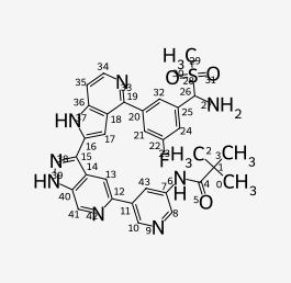 CC(C)(C)C(=O)Nc1cncc(-c2cc3c(-c4cc5c(-c6cc(F)cc(C(N)S(C)(=O)=O)c6)nccc5[nH]4)n[nH]c3cn2)c1